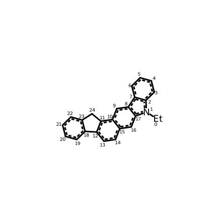 CCn1c2ccccc2c2cc3c4c(ccc3cc21)-c1ccccc1C4